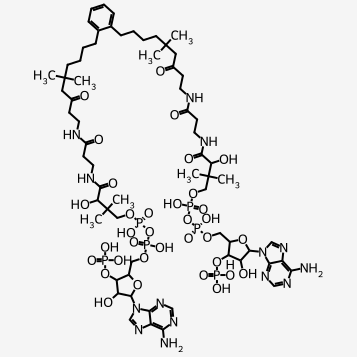 CC(C)(CCCCc1ccccc1CCCCC(C)(C)CC(=O)CCNC(=O)CCNC(=O)C(O)C(C)(C)COP(=O)(O)OP(=O)(O)OCC1OC(n2cnc3c(N)ncnc32)C(O)C1OP(=O)(O)O)CC(=O)CCNC(=O)CCNC(=O)C(O)C(C)(C)COP(=O)(O)OP(=O)(O)OCC1OC(n2cnc3c(N)ncnc32)C(O)C1OP(=O)(O)O